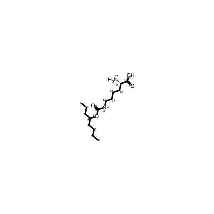 CCCCC(CCC)OC(=O)NCCCC[C@H](N)C(=O)O